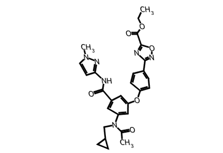 CCOC(=O)c1nc(-c2ccc(Oc3cc(C(=O)Nc4ccn(C)n4)cc(N(CC4CC4)C(C)=O)c3)cc2)no1